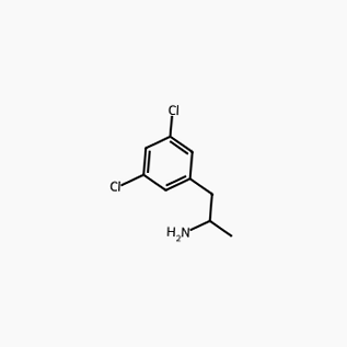 CC(N)Cc1cc(Cl)cc(Cl)c1